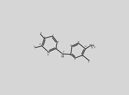 Cc1cc(Nc2ccc(C)c(C)n2)ccc1N